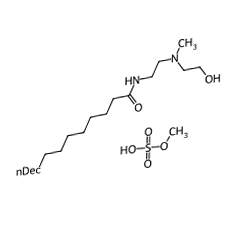 CCCCCCCCCCCCCCCCCC(=O)NCCN(C)CCO.COS(=O)(=O)O